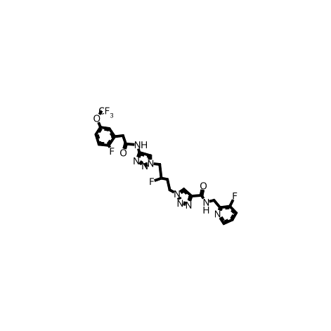 O=C(Cc1cc(OC(F)(F)F)ccc1F)Nc1cn(CC(F)CCn2cc(C(=O)NCc3ncccc3F)nn2)nn1